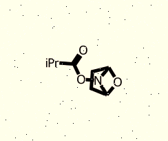 CC(C)C(=O)ON1C2CCC1O2